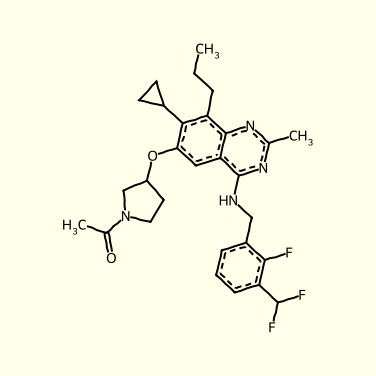 CCCc1c(C2CC2)c(OC2CCN(C(C)=O)C2)cc2c(NCc3cccc(C(F)F)c3F)nc(C)nc12